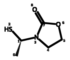 C[C@H](S)N1CCOC1=O